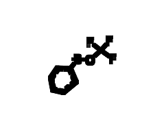 FC(F)(F)O[B]c1ccccc1